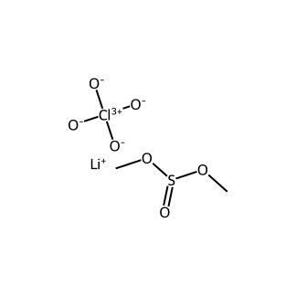 COS(=O)OC.[Li+].[O-][Cl+3]([O-])([O-])[O-]